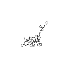 C[C@@H]1C[C@H]2[C@@H]3C[C@H](F)C4=CC(=O)C=C[C@]4(C)[C@@]3(F)[C@@H](O)C[C@]2(C)[C@]1(OC(=O)c1ccco1)C(=O)SCC#CCOC(=O)CCCCl